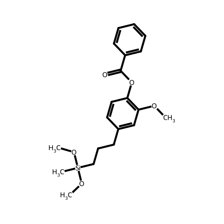 COc1cc(CCC[Si](C)(OC)OC)ccc1OC(=O)c1ccccc1